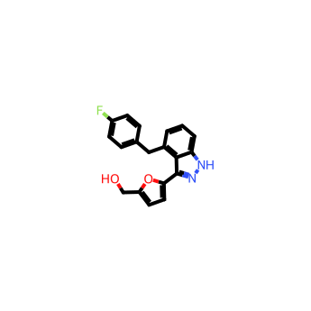 OCc1ccc(-c2n[nH]c3cccc(Cc4ccc(F)cc4)c23)o1